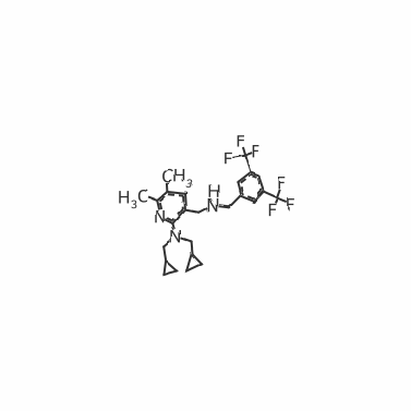 Cc1cc(CNCc2cc(C(F)(F)F)cc(C(F)(F)F)c2)c(N(CC2CC2)CC2CC2)nc1C